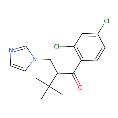 CC(C)(C)C(Cn1ccnc1)C(=O)c1ccc(Cl)cc1Cl